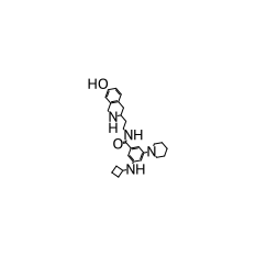 O=C(NCCC1Cc2ccc(O)cc2CN1)c1cc(NC2CCC2)cc(N2CCCCC2)c1